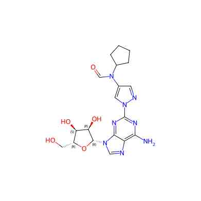 Nc1nc(-n2cc(N(C=O)C3CCCC3)cn2)nc2c1ncn2[C@@H]1O[C@H](CO)[C@@H](O)[C@H]1O